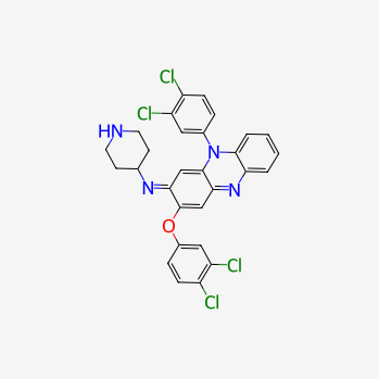 Clc1ccc(Oc2cc3nc4ccccc4n(-c4ccc(Cl)c(Cl)c4)c-3cc2=NC2CCNCC2)cc1Cl